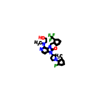 Cc1cccc(F)c1N1CCC(n2c(=O)n(Cc3ccccc3C(F)(F)F)c3c(N(C)CCO)nccc32)C1